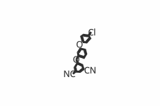 N#Cc1cc(C#N)cc(Oc2cccc(Oc3ccc(Cl)cc3)c2)c1